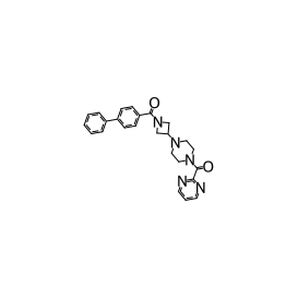 O=C(c1ccc(-c2ccccc2)cc1)N1CC(N2CCN(C(=O)c3ncccn3)CC2)C1